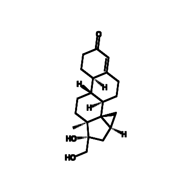 C[C@]12CC[C@H]3[C@@H](CCC4=CC(=O)CC[C@@H]43)[C@@]13C[C@H]3C[C@@]2(O)CO